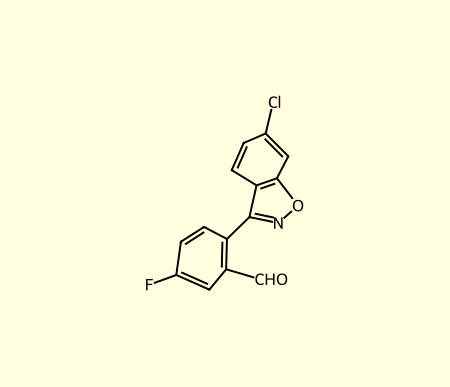 O=Cc1cc(F)ccc1-c1noc2cc(Cl)ccc12